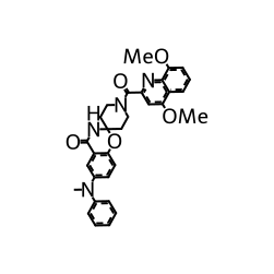 COc1cc(C(=O)N2CCC3(CC2)NC(=O)c2cc(N(C)c4ccccc4)ccc2O3)nc2c(OC)cccc12